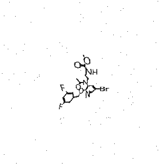 COC(=O)NCCN(C(C)=O)c1cc(Br)cnc1OCC1C=C(F)C=C(F)C1